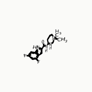 C[Si]1(C)CCCC(NC(=O)c2cc3c(F)cc(F)cc3[nH]2)NC1